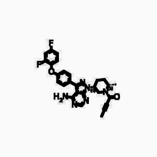 CC#CC(=O)N1C[C@H](n2nc(-c3ccc(Oc4ccc(F)cc4F)cc3)c3c(N)ncnc32)CC[C@@H]1C